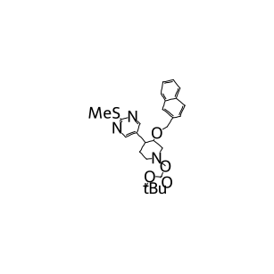 CSc1ncc(C2CCN(OC(=O)OC(C)(C)C)CC2OCc2ccc3ccccc3c2)cn1